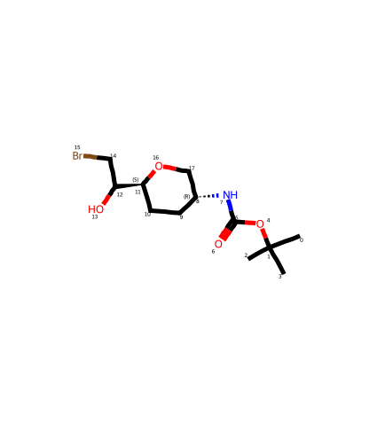 CC(C)(C)OC(=O)N[C@@H]1CC[C@@H](C(O)CBr)OC1